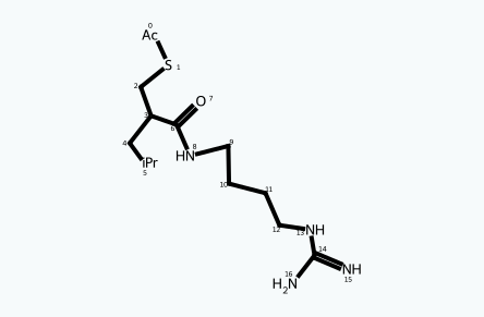 CC(=O)SCC(CC(C)C)C(=O)NCCCCNC(=N)N